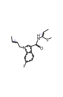 C/C=C(/NC(=O)c1cn(C/C=C/C)c2cc(F)ccc12)SC